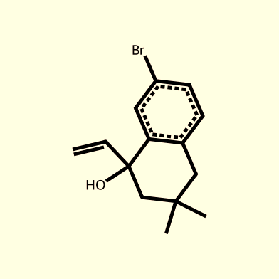 C=CC1(O)CC(C)(C)Cc2ccc(Br)cc21